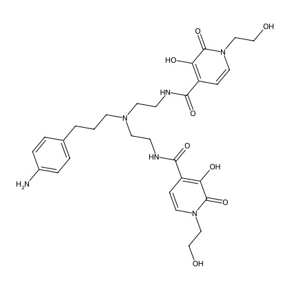 Nc1ccc(CCCN(CCNC(=O)c2ccn(CCO)c(=O)c2O)CCNC(=O)c2ccn(CCO)c(=O)c2O)cc1